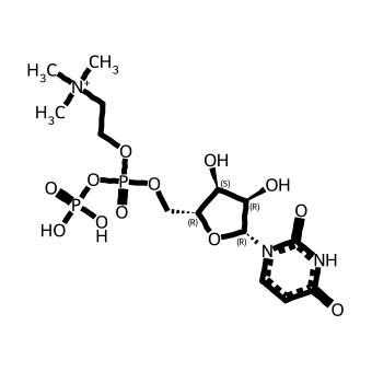 C[N+](C)(C)CCOP(=O)(OC[C@H]1O[C@@H](n2ccc(=O)[nH]c2=O)[C@H](O)[C@@H]1O)OP(=O)(O)O